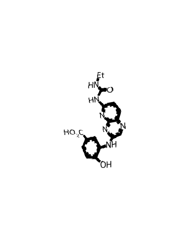 CCNC(=O)Nc1ccc2ncc(Nc3cc(C(=O)O)ccc3O)nc2n1